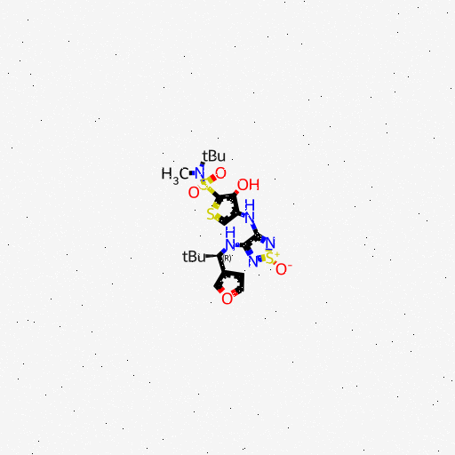 CN(C(C)(C)C)S(=O)(=O)c1scc(Nc2n[s+]([O-])nc2N[C@@H](c2ccoc2)C(C)(C)C)c1O